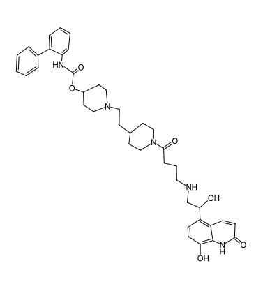 O=C(Nc1ccccc1-c1ccccc1)OC1CCN(CCC2CCN(C(=O)CCCNCC(O)c3ccc(O)c4[nH]c(=O)ccc34)CC2)CC1